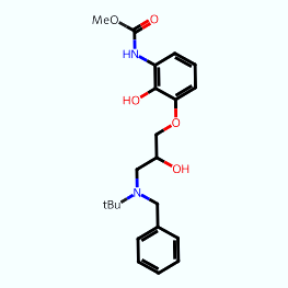 COC(=O)Nc1cccc(OCC(O)CN(Cc2ccccc2)C(C)(C)C)c1O